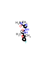 Cc1c([C@H](NC(=O)Nc2cncc(C(=O)N(C)C)c2)C(C)C)oc2ccc(F)cc12